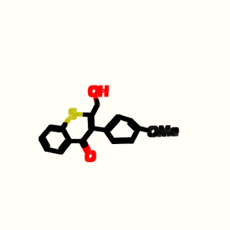 COc1ccc(-c2c(CO)sc3ccccc3c2=O)cc1